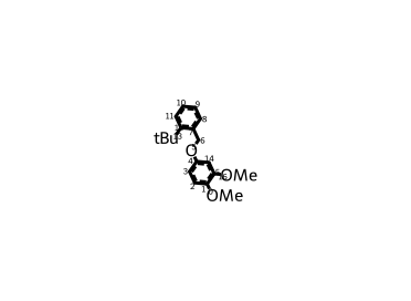 COc1ccc(OCc2ccccc2C(C)(C)C)cc1OC